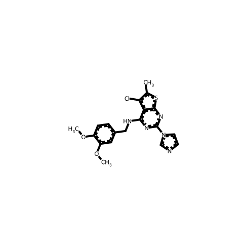 COc1ccc(CNc2nc(-n3ccnc3)nc3sc(C)c(Cl)c23)cc1OC